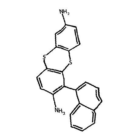 Nc1ccc2c(c1)Sc1ccc(N)c(-c3cccc4ccccc34)c1S2